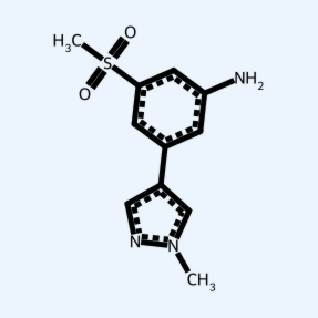 Cn1cc(-c2cc(N)cc(S(C)(=O)=O)c2)cn1